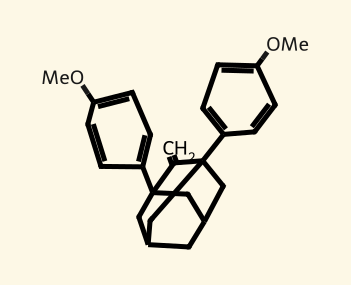 C=C1C2(c3ccc(OC)cc3)CC3CC(C2)CC1(c1ccc(OC)cc1)C3